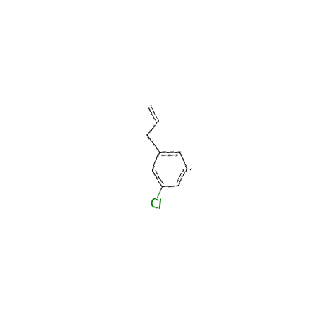 C=CCc1c[c]cc(Cl)c1